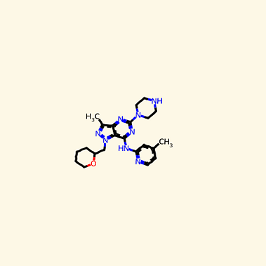 Cc1ccnc(Nc2nc(N3CCNCC3)nc3c(C)nn(CC4CCCCO4)c23)c1